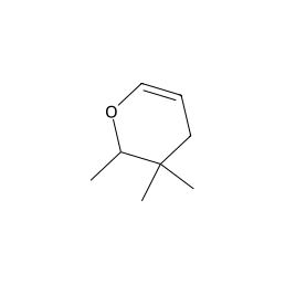 CC1OC=CCC1(C)C